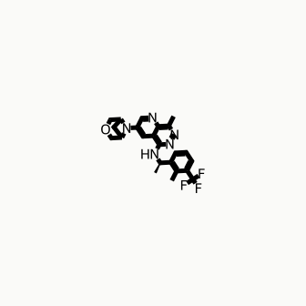 Cc1c([C@@H](C)Nc2nnc(C)c3ncc(N4C5COCC4C5)cc23)cccc1C(F)(F)F